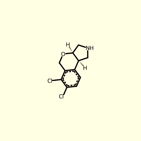 Clc1ccc2c(c1Cl)CO[C@H]1CNC[C@@H]21